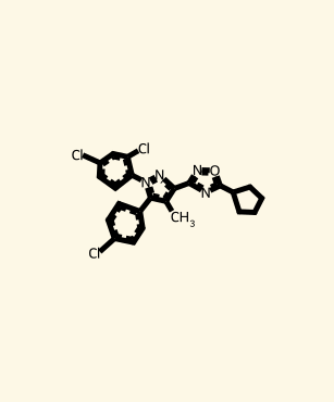 Cc1c(-c2noc(C3CCCC3)n2)nn(-c2ccc(Cl)cc2Cl)c1-c1ccc(Cl)cc1